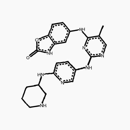 Cc1cnc(Nc2ccc(NC3CCCNC3)nc2)nc1Nc1ccc2oc(=O)[nH]c2c1